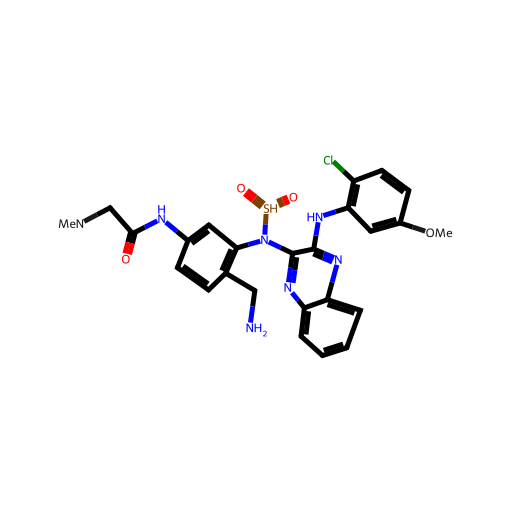 CNCC(=O)Nc1ccc(CN)c(N(c2nc3ccccc3nc2Nc2cc(OC)ccc2Cl)[SH](=O)=O)c1